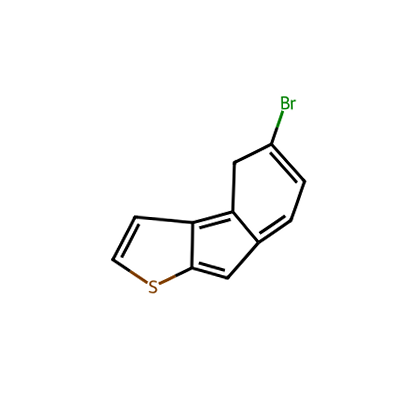 BrC1=CC=C2C=c3sccc3=C2C1